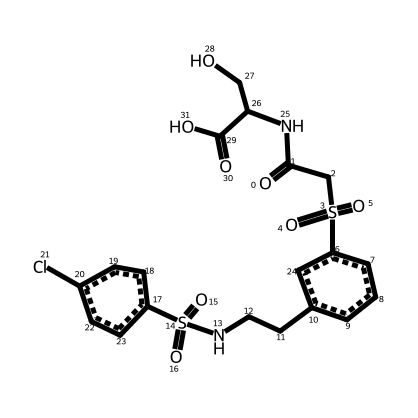 O=C(CS(=O)(=O)c1cccc(CCNS(=O)(=O)c2ccc(Cl)cc2)c1)NC(CO)C(=O)O